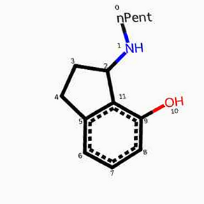 CCCCCNC1CCc2cccc(O)c21